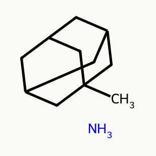 CC12CC3CC(CC(C3)C1)C2.N